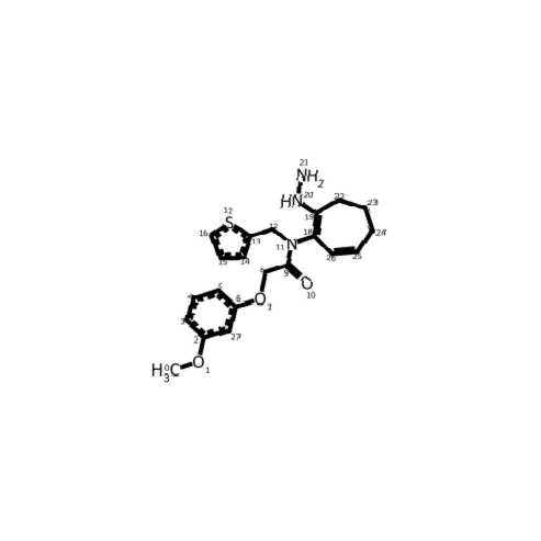 COc1cccc(OCC(=O)N(Cc2cccs2)C2=C(NN)CCCC=C2)c1